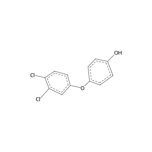 Oc1ccc(Oc2ccc(Cl)c(Cl)c2)cc1